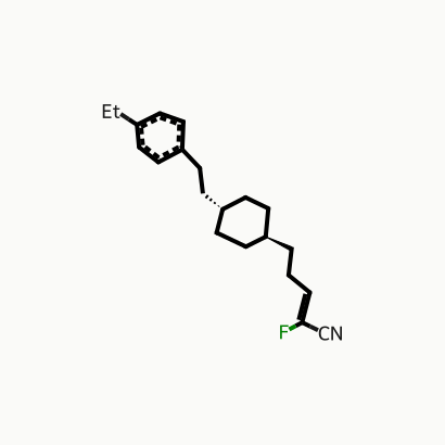 CCc1ccc(CC[C@H]2CC[C@H](CCC=C(F)C#N)CC2)cc1